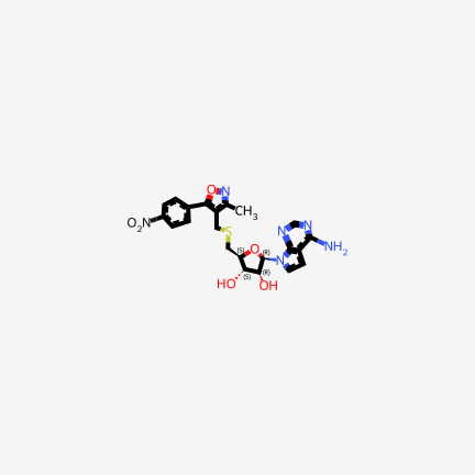 Cc1noc(-c2ccc([N+](=O)[O-])cc2)c1CSC[C@H]1O[C@@H](n2ccc3c(N)ncnc32)[C@H](O)[C@@H]1O